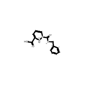 O=C(O)C1=CC=CN(C(=O)OCc2ccccc2)N1